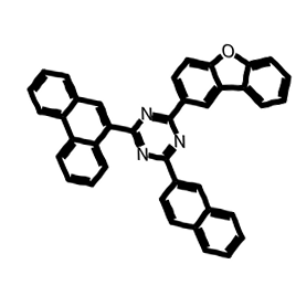 c1ccc2cc(-c3nc(-c4ccc5oc6ccccc6c5c4)nc(-c4cc5ccccc5c5ccccc45)n3)ccc2c1